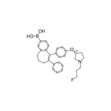 OB(O)c1ccc2c(c1)CCCC(c1ccccc1)=C2c1ccc(O[C@H]2CCN(CCCF)C2)cc1